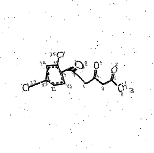 CC(=O)CC(=O)CC(=O)c1ccc(Cl)cc1Cl